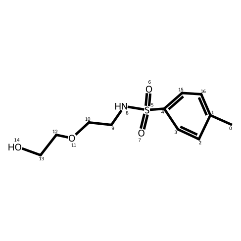 Cc1ccc(S(=O)(=O)NCCOCCO)cc1